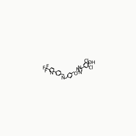 CN(Cc1ccc(COc2ncc(-c3cc(Cl)c(O)c(Cl)c3)nn2)cc1)Cc1ccc(-c2ccc(C(F)(F)F)cn2)cc1